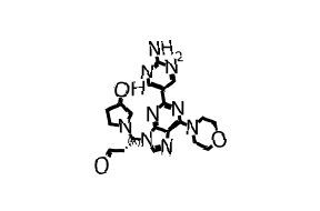 Nc1ncc(-c2nc(N3CCOCC3)c3ncn([C@H](CC=O)N4CCC(O)C4)c3n2)cn1